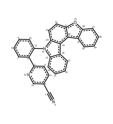 N#Cc1ccc(-c2ccccc2-n2c3ccccc3c3c4c(ccc32)oc2ccccc24)nc1